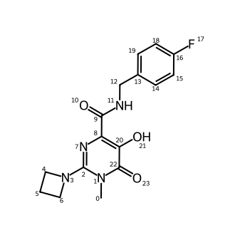 Cn1c(N2CCC2)nc(C(=O)NCc2ccc(F)cc2)c(O)c1=O